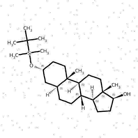 CC(C)(C)[Si](C)(C)O[C@@H]1CC[C@@]2(C)[C@@H](CC[C@@H]3[C@@H]2CC[C@]2(C)[C@@H](O)CC[C@@H]32)C1